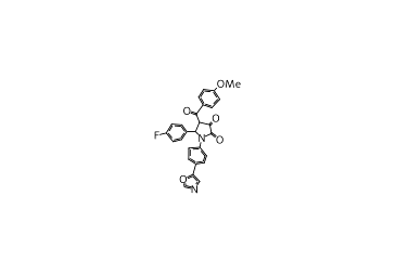 COc1ccc(C(=O)C2C(=O)C(=O)N(c3ccc(-c4cnco4)cc3)C2c2ccc(F)cc2)cc1